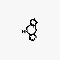 c1cc2n(c1)Cc1sccc1NC2